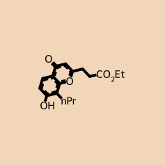 CCCc1c(O)ccc2c(=O)cc(CCC(=O)OCC)oc12